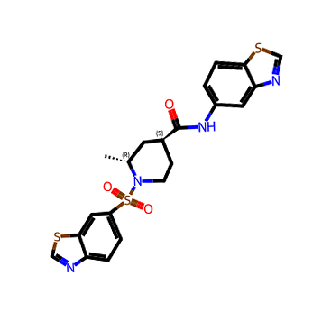 C[C@@H]1C[C@@H](C(=O)Nc2ccc3scnc3c2)CCN1S(=O)(=O)c1ccc2ncsc2c1